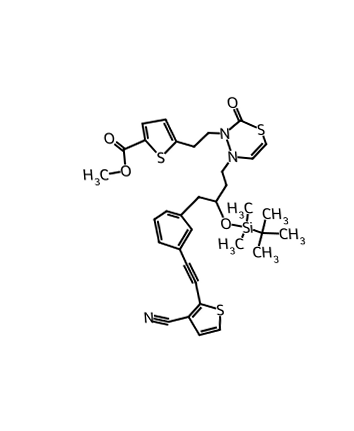 COC(=O)c1ccc(CCN2C(=O)SC=CN2CCC(Cc2cccc(C#Cc3sccc3C#N)c2)O[Si](C)(C)C(C)(C)C)s1